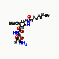 COc1cc(CNC(=O)CCCC/C=C/C(C)C)ccc1OC(=O)NCOC(C)C(N)=O